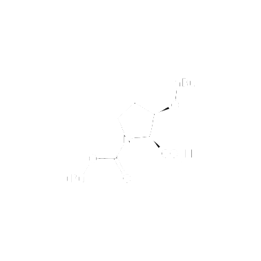 CCCCO[C@@H]1CCN(C(=O)OC(C)(C)C)[C@@H]1C(=O)O